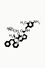 Cc1nc(N)ccc1CNC(=O)[C@@H]1CCc2cnc(N(C)C(Cc3ccccc3)c3ccccn3)c(=O)n21.Cl.Cl.Cl